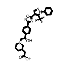 O=C(O)CC1CCCN(CC(O)c2ccc(-c3noc(-c4cnn(-c5ccccc5)c4C(F)(F)F)n3)cc2)C1